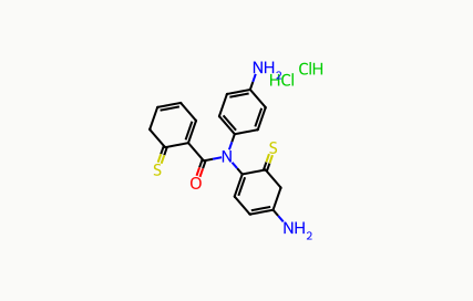 Cl.Cl.NC1=CC=C(N(C(=O)C2=CC=CCC2=S)c2ccc(N)cc2)C(=S)C1